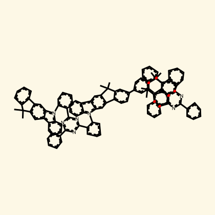 CC1(C)c2ccccc2-c2cc3c(cc21)c1ccccc1n3-c1ccccc1-c1nc(-c2ccccc2)nc(-c2ccccc2-n2c3ccccc3c3cc4c(cc32)-c2ccc(-c3ccc5c(c3)N(c3ccccc3-c3nc(-c6ccccc6)nc(-c6ccccc6N6c7ccccc7C(C)(C)c7ccccc76)n3)c3ccccc3C5(C)C)cc2C4(C)C)n1